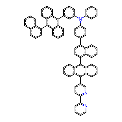 c1ccc(N(c2ccc(-c3ccc(-c4c5ccccc5c(-c5ccc(-c6ccccn6)nc5)c5ccccc45)c4ccccc34)cc2)c2cccc(-c3c4ccccc4c(-c4cccc5ccccc45)c4ccccc34)c2)cc1